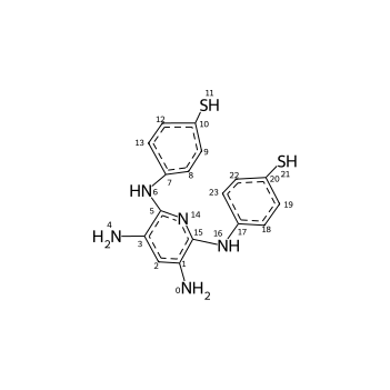 Nc1cc(N)c(Nc2ccc(S)cc2)nc1Nc1ccc(S)cc1